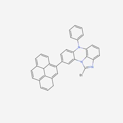 CCc1nc2cccc3c2n1-c1cc(C2=C4C=CC=C5C=CC6=C(C(=C2)CC=C6)C54)ccc1N3c1ccccc1